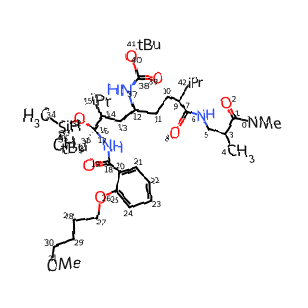 CNC(=O)C(C)CNC(=O)C(CCC(CC(C(C)C)[C@@](NC(=O)c1ccccc1OCCCCOC)(O[SiH](C)C)C(C)(C)C)NC(=O)OC(C)(C)C)C(C)C